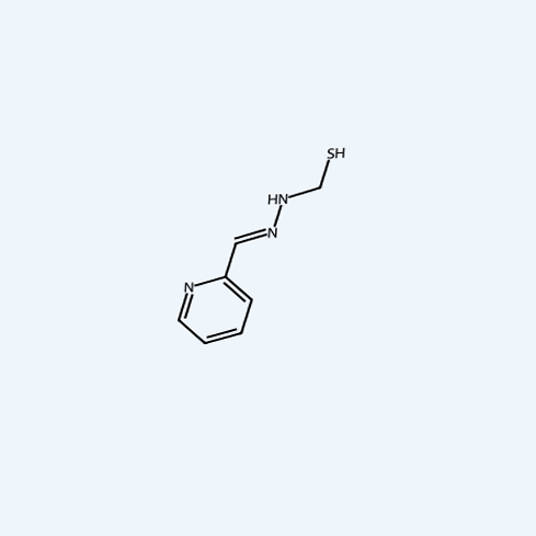 SCNN=Cc1ccccn1